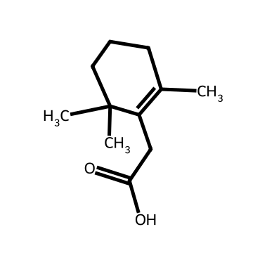 CC1=C(CC(=O)O)C(C)(C)CCC1